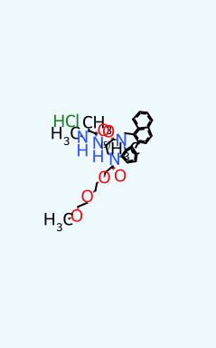 CNC(C)C(=O)N[C@H]1CN(C(=O)COCCOCCOC)c2ccccc2N(Cc2c(C)ccc3ccccc23)C1=O.Cl